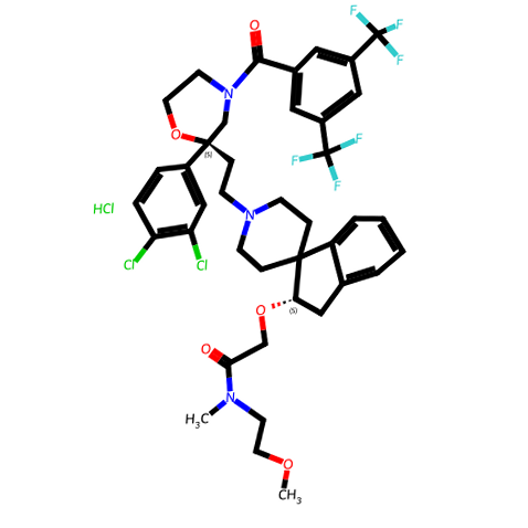 COCCN(C)C(=O)CO[C@H]1Cc2ccccc2C12CCN(CC[C@]1(c3ccc(Cl)c(Cl)c3)CN(C(=O)c3cc(C(F)(F)F)cc(C(F)(F)F)c3)CCO1)CC2.Cl